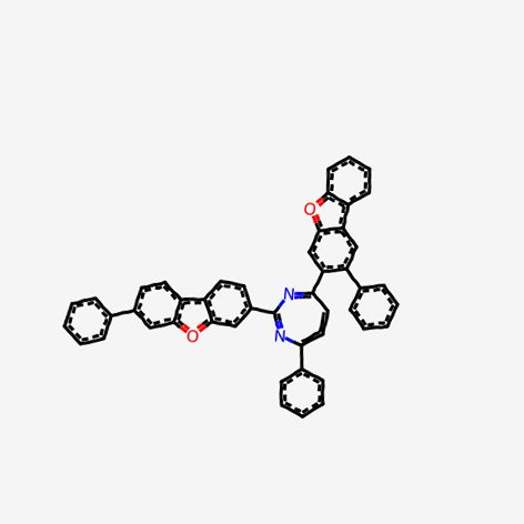 C1=CC(c2cc3oc4ccccc4c3cc2-c2ccccc2)=NC(c2ccc3c(c2)oc2cc(-c4ccccc4)ccc23)=NC=1c1ccccc1